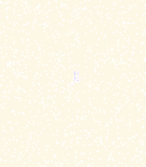 O=C(NCCc1ccc(O)cc1)c1ccc(O)cc1